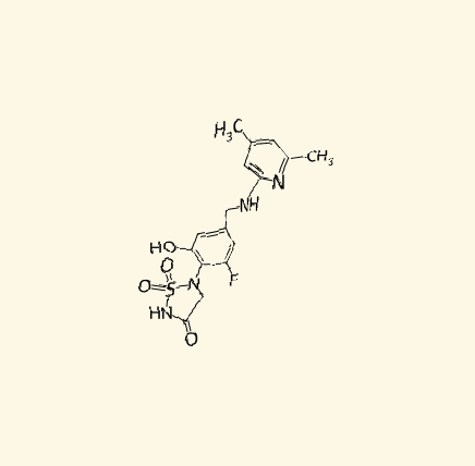 Cc1cc(C)nc(NCc2cc(O)c(N3CC(=O)NS3(=O)=O)c(F)c2)c1